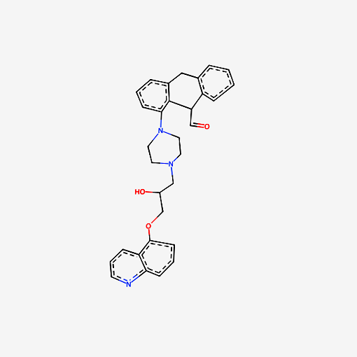 O=CC1c2ccccc2Cc2cccc(N3CCN(CC(O)COc4cccc5ncccc45)CC3)c21